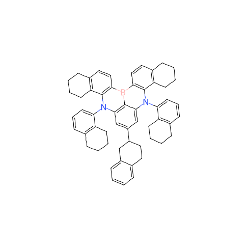 c1ccc2c(c1)CCC(c1cc3c4c(c1)N(c1cccc5c1CCCC5)c1c(ccc5c1CCCC5)B4c1ccc4c(c1N3c1cccc3c1CCCC3)CCCC4)C2